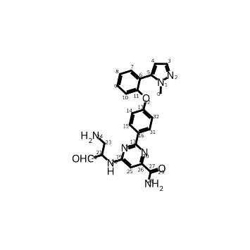 Cn1nccc1-c1ccccc1Oc1ccc(-c2nc(NC(C=O)CN)cc(C(N)=O)n2)cc1